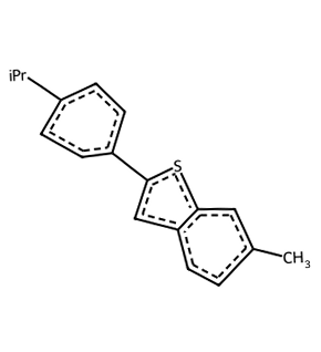 Cc1ccc2cc(-c3ccc(C(C)C)cc3)sc2c1